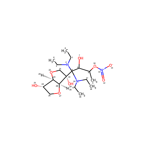 CCN(CC)C(C(O)C(C)O[N+](=O)[O-])(N(CC)CC)[C@]1(O)CO[C@@H]2[C@@H](O)CO[C@@H]21